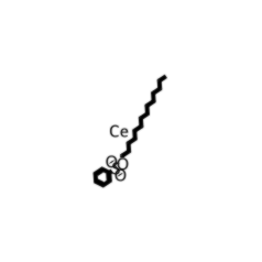 CCCCCCCCCCCCCCOS(=O)(=O)c1ccccc1.[Ce]